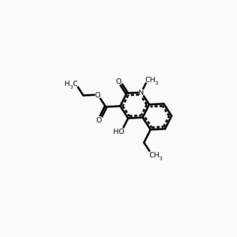 CCOC(=O)c1c(O)c2c(CC)cccc2n(C)c1=O